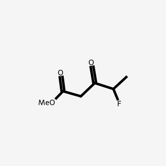 COC(=O)CC(=O)C(C)F